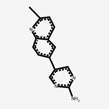 Cc1ccc2cc(-c3cnc(N)nc3)ccc2n1